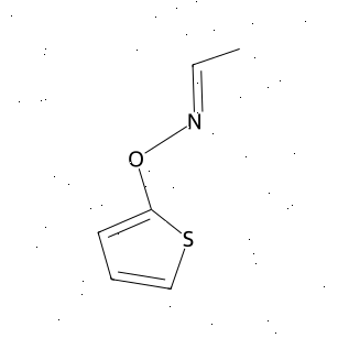 CC=NOc1cccs1